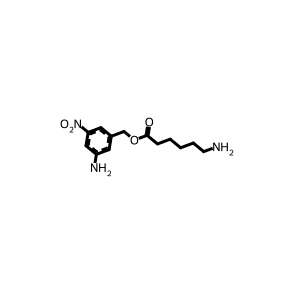 NCCCCCC(=O)OCc1cc(N)cc([N+](=O)[O-])c1